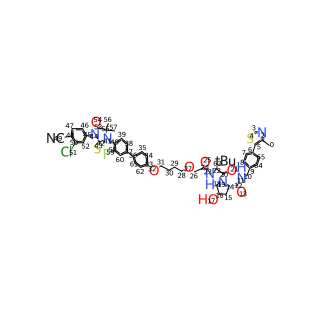 Cc1ncsc1-c1ccc(CNC(=O)[C@@H]2C[C@@H](O)CN2C(=O)C(NC(=O)COCCCCOc2ccc(-c3ccc(N4C(=S)N(c5ccc(C#N)c(Cl)c5)C(=O)C4(C)C)c(F)c3)cc2)C(C)(C)C)cc1